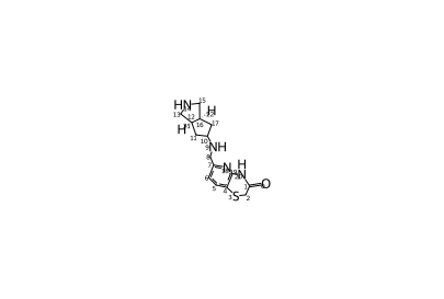 O=C1CSc2ccc(CNC3C[C@H]4CNC[C@H]4C3)nc2N1